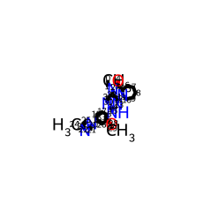 CCN1C(=O)C2CCCCCN2c2nc(Nc3ccc(-n4cnc(C)c4)cc3OC)ncc21